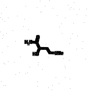 CSCCC(O)C(N)=O